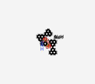 O=S(=O)(OC1C(C2=Cc3cccc4cccc(c34)C2)=Cc2cccc3cccc1c23)c1cc(S(=O)(=O)OC2C(C3=Cc4cccc5cccc(c45)C3)=Cc3cccc4cccc2c34)c2nc[nH]c2c1.[NaH].[NaH]